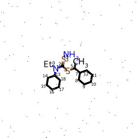 CCN(C(=S)SC(C)C1CCCCC1)C1CCCCC1.N